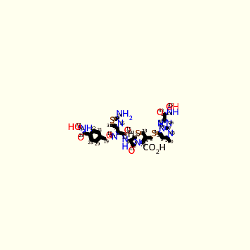 Cc1cc(SCC2=C(C(=O)O)N3C(=O)[C@@H](NC(=O)C(=NOCc4ccc(C(=O)NO)cc4)c4csc(N)n4)[C@H]3SC2)n2nc(C(=O)NO)nc2n1